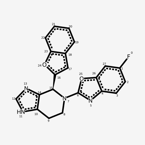 Fc1ccc2nc(N3CCc4[nH]cnc4[C@H]3c3cc4ccccc4o3)oc2c1